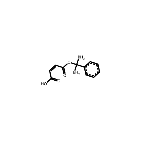 BC(B)(OC(=O)/C=C\C(=O)O)c1ccccc1